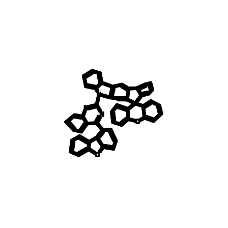 c1ccc2c(c1)Oc1ccccc1C21c2ccccc2-c2cc3c4ccccc4n(-c4nc(-c5cccc6oc7ccccc7c56)c5ccccc5n4)c3cc21